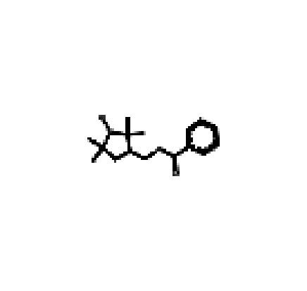 CC1(C)CC(COC(=O)c2ccccc2)C(C)(C)N1[O]